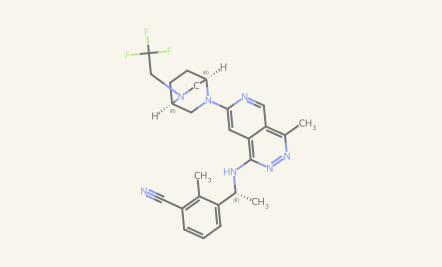 Cc1c(C#N)cccc1[C@@H](C)Nc1nnc(C)c2cnc(N3C[C@H]4CC[C@@H]3CN4CC(F)(F)F)cc12